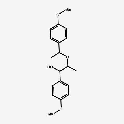 CCCCOc1ccc(C(C)OC(C)C(O)c2ccc(OCCCC)cc2)cc1